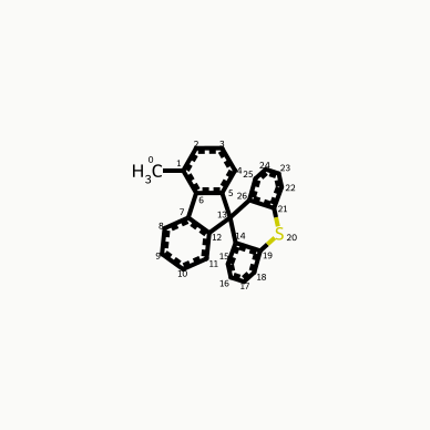 Cc1cccc2c1-c1ccccc1C21c2ccccc2Sc2ccccc21